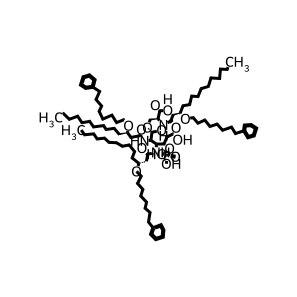 CCCCCCCCCCC[C@H](CC(=O)NC1C(NC(=O)C[C@@H](CCCCCCCCCCC)OCCCCCCCCc2ccccc2)[C@H](OP(=O)(O)O)C(CO)O[C@H]1OC[C@H](NC(=O)C[C@@H](CCCCCCCCCCC)OCCCCCCCCc1ccccc1)C(=O)O)OCCCCCCCCc1ccccc1